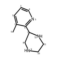 Cc1cccnc1C1CNCCN1